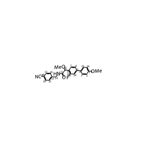 COc1ccc(-c2ccc(C(OC)C(=O)NCc3ccc(C#N)cc3)c(F)c2)cc1